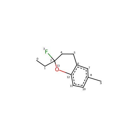 CCC1(F)CCc2cc(C)ccc2O1